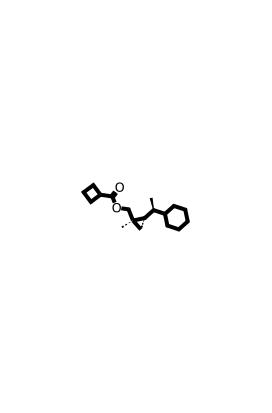 C[C@@H](C1CCCCC1)[C@@H]1C[C@@]1(C)COC(=O)C1CCC1